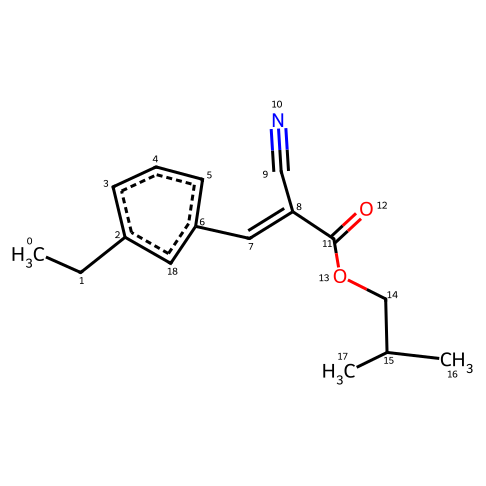 CCc1cccc(/C=C(\C#N)C(=O)OCC(C)C)c1